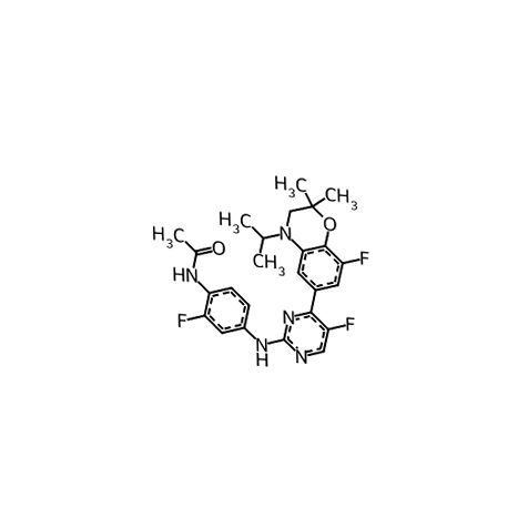 CC(=O)Nc1ccc(Nc2ncc(F)c(-c3cc(F)c4c(c3)N(C(C)C)CC(C)(C)O4)n2)cc1F